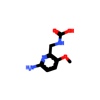 COc1ccc(N)nc1CNC(=O)O